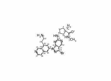 CNC(=O)[C@]1(C)CC[C@@H](Nc2ncc3c(Br)nn(-c4cc(CCN)c5cnccc5c4)c3n2)C1